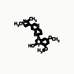 COc1cc(OC)c(F)c(N(CCO)c2ccc3ncc(-c4cn(C)nc4C)cc3n2)c1